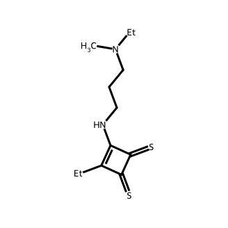 CCc1c(NCCCN(C)CC)c(=S)c1=S